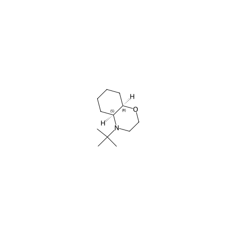 CC(C)(C)N1CCO[C@@H]2CCCC[C@@H]21